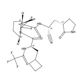 N#C[C@@H](C[C@@H]1CCNC1=O)NC(=O)[C@H]1[C@H]2CC[C@H](CC2(F)F)N1C(=O)[C@@H](CC1CCC1)NC(=O)C(F)(F)F